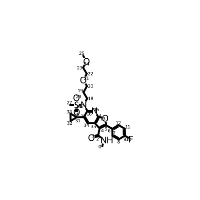 CNC(=O)c1c(-c2ccc(F)cc2)oc2nc(N(CCCOCCOC)S(C)(=O)=O)c(C3CC3)cc12